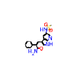 CS(=O)(=O)Nc1cnc2[nH]cc(C=C(C(N)=O)c3ccccc3)c2c1